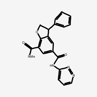 CNC(=O)c1cc(C(=O)Nc2cccnn2)cc2c1OCC2c1ccccc1